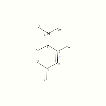 C/C(=C/C(C)C)C(C)N(C)C